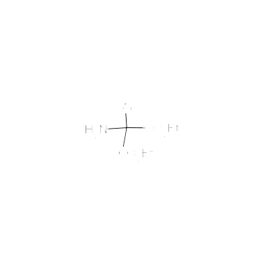 CCOC(=O)C(N)(C(C)=O)C(=O)OCC